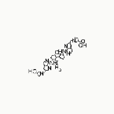 Cc1c(Nc2nccc3cc(CN4CCC(O)C4)cnc23)cccc1-c1cccc(Nc2nccc3cc(CN4CCC(C(=O)O)C4)cnc23)c1Cl